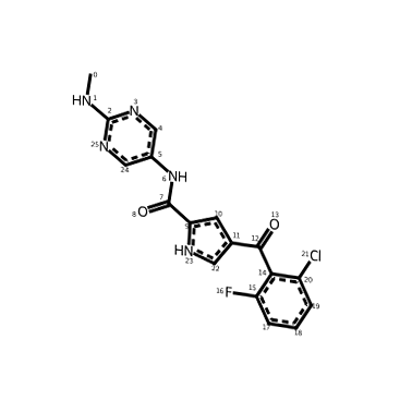 CNc1ncc(NC(=O)c2cc(C(=O)c3c(F)cccc3Cl)c[nH]2)cn1